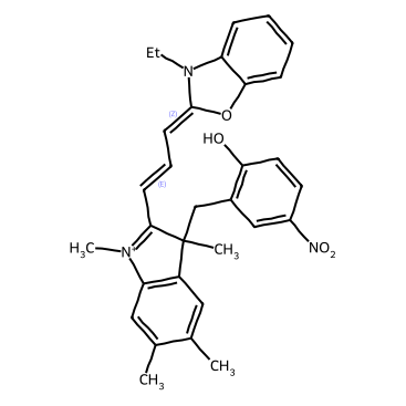 CCN1/C(=C/C=C/C2=[N+](C)c3cc(C)c(C)cc3C2(C)Cc2cc([N+](=O)[O-])ccc2O)Oc2ccccc21